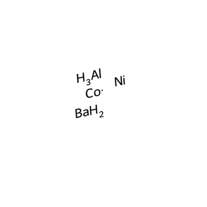 [AlH3].[BaH2].[Co].[Ni]